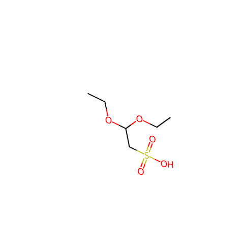 CCOC(CS(=O)(=O)O)OCC